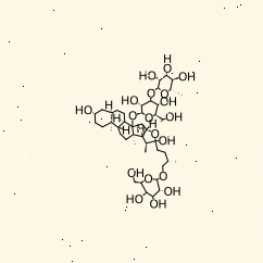 C[C@@H](CC[C@@]1(O)O[C@H]2CC3(O[C@@H]4O[C@H](CO)[C@@H](O)[C@H](O[C@@H]5O[C@@H](C)[C@H](O)[C@@H](O)[C@H]5O)[C@H]4O)[C@@H]4CC[C@@H]5C[C@@H](O)CC[C@]5(C)[C@H]4CC[C@]3(C)[C@H]2[C@@H]1C)CO[C@@H]1O[C@H](CO)[C@H](O)[C@H](O)[C@H]1O